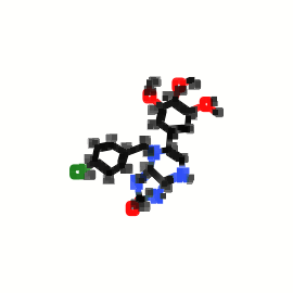 COc1cc(C2=CN=C3[N]C(=O)N=C3N2Cc2ccc(Cl)cc2)cc(OC)c1OC